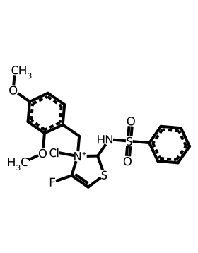 COc1ccc(C[N+]2(Cl)C(F)=CSC2NS(=O)(=O)c2ccccc2)c(OC)c1